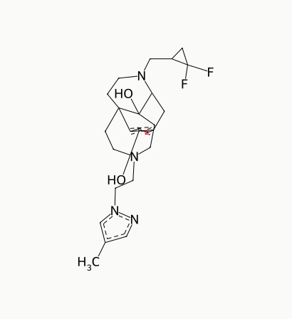 Cc1cnn(CCN2CCC34CCN(CC5CC5(F)F)C(Cc5ccc(O)cc53)C4(O)CC2)c1